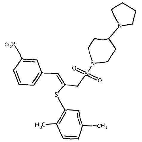 Cc1ccc(C)c(SC(=Cc2cccc([N+](=O)[O-])c2)CS(=O)(=O)N2CCC(N3CCCC3)CC2)c1